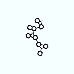 c1ccc(C2c3ccccc3-c3cc(-c4ccc5c(c4)c4ccccc4n5-c4cc(-c5cccc6oc7ccccc7c56)cc5ccccc45)ccc32)cc1